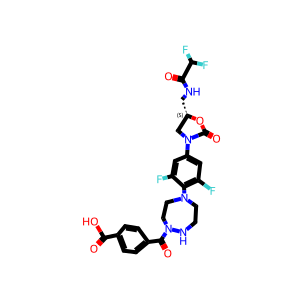 O=C(O)c1ccc(C(=O)N2CCN(c3c(F)cc(N4C[C@H](CNC(=O)C(F)F)OC4=O)cc3F)CCN2)cc1